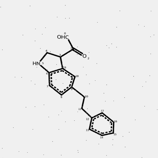 O=CC(=O)C1CNc2ccc(CCc3ccccc3)cc21